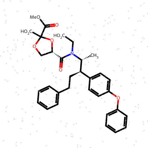 COC(=O)C1(C(=O)O)OC[C@@H](C(=O)N(CC(=O)O)[C@H](C)[C@H](CCc2ccccc2)c2ccc(Oc3ccccc3)cc2)O1